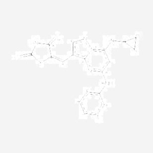 O=C1CC(=Cc2cnn3c(NC4CC4)cc(Nc4cccnc4)nc23)C(=O)N1